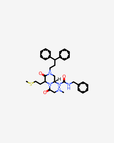 CSCCC1C(=O)N(CCC(c2ccccc2)c2ccccc2)C[C@H]2N1C(=O)CN(C)N2C(=O)NCc1ccccc1